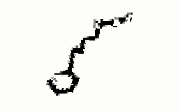 S=C=NCCC=Cc1ccccc1